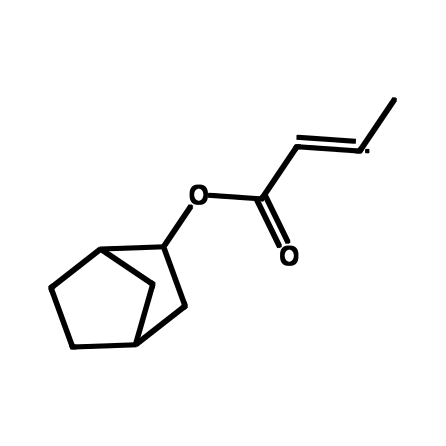 C/[C]=C/C(=O)OC1CC2CCC1C2